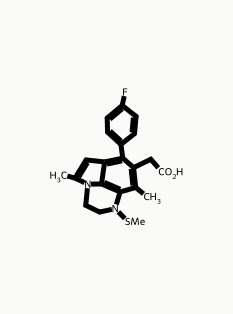 CSN1CCn2c(C)cc3c(-c4ccc(F)cc4)c(CC(=O)O)c(C)c1c32